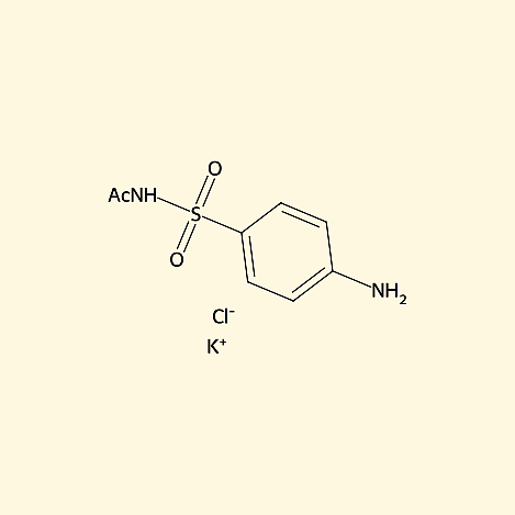 CC(=O)NS(=O)(=O)c1ccc(N)cc1.[Cl-].[K+]